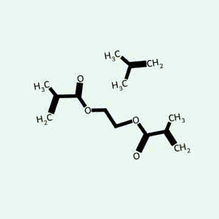 C=C(C)C.C=C(C)C(=O)OCCOC(=O)C(=C)C